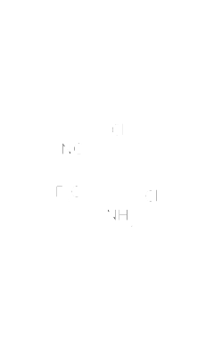 N#Cc1c(Cl)[c]c(Cl)c(N)c1C(F)(F)F